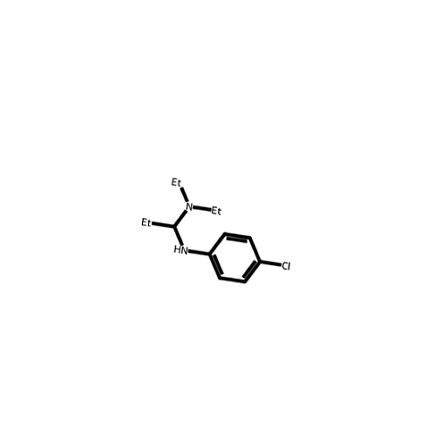 CCC(Nc1ccc(Cl)cc1)N(CC)CC